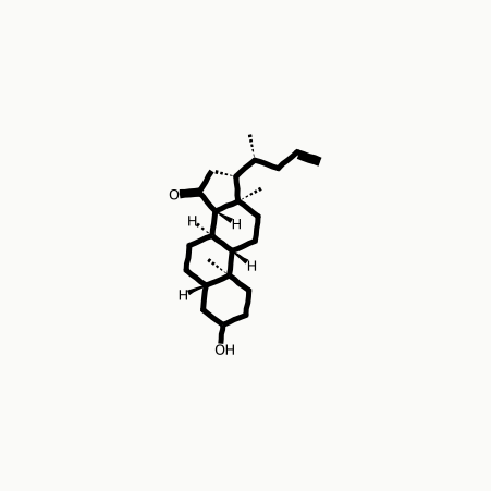 C=CC[C@@H](C)[C@H]1CC(=O)[C@H]2[C@@H]3CC[C@H]4CC(O)CC[C@]4(C)[C@H]3CC[C@]12C